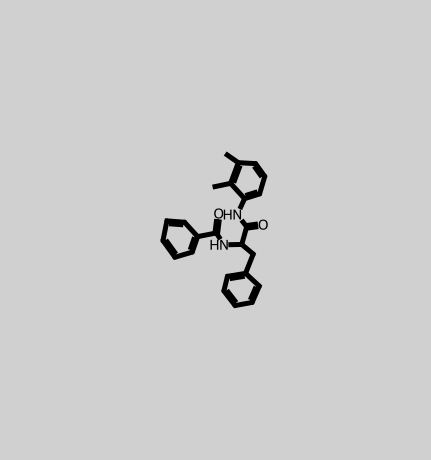 Cc1cccc(NC(=O)C(Cc2ccccc2)NC(=O)c2ccccc2)c1C